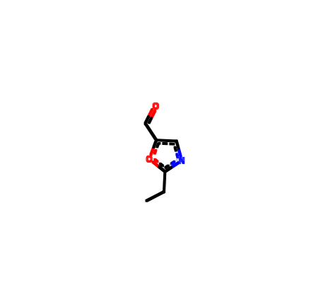 CCc1ncc(C=O)o1